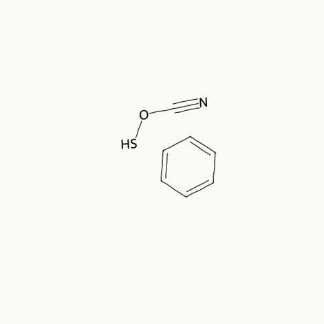 N#COS.c1ccccc1